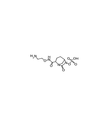 NCCONC(=O)C1CCC2CN1C(=O)N2OS(=O)(=O)O